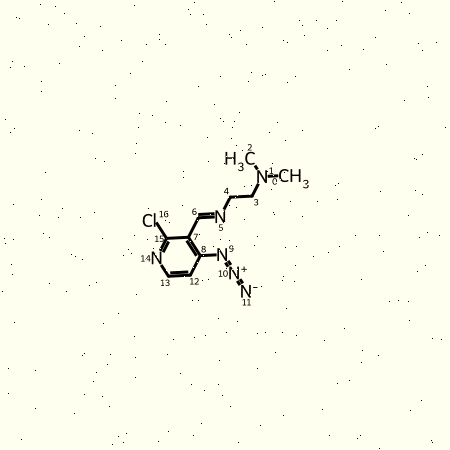 CN(C)CC/N=C/c1c(N=[N+]=[N-])ccnc1Cl